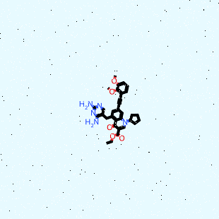 CCOC(=O)c1cn(C2CCCC2)c2cc(C#Cc3cccc(OC)c3OC)cc(Cc3cnc(N)nc3N)c2c1=O